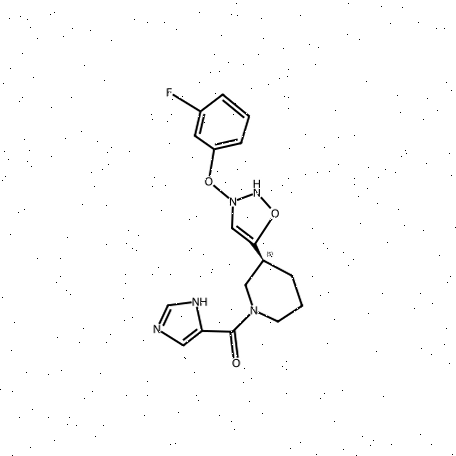 O=C(c1cnc[nH]1)N1CCC[C@H](C2=CN(Oc3cccc(F)c3)NO2)C1